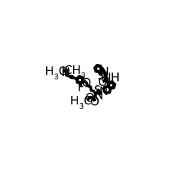 COC(=O)c1nc(N2CCc3cccc(C(=O)Nc4nc5ccccc5s4)c3C2)sc1CCCOc1ccc(C#CCN(C)C)cc1F